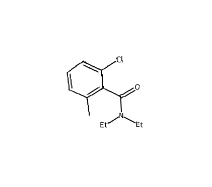 CCN(CC)C(=O)c1c(C)cccc1Cl